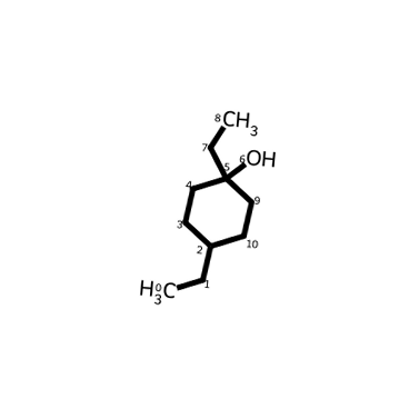 CCC1CCC(O)(CC)CC1